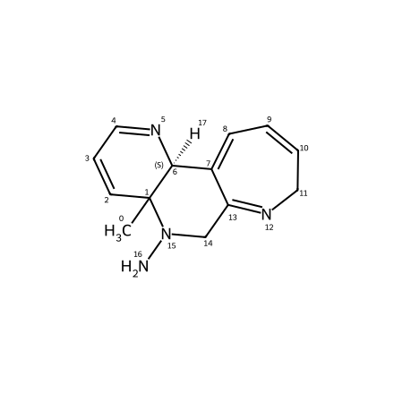 CC12C=CC=N[C@H]1C1=CC=CCN=C1CN2N